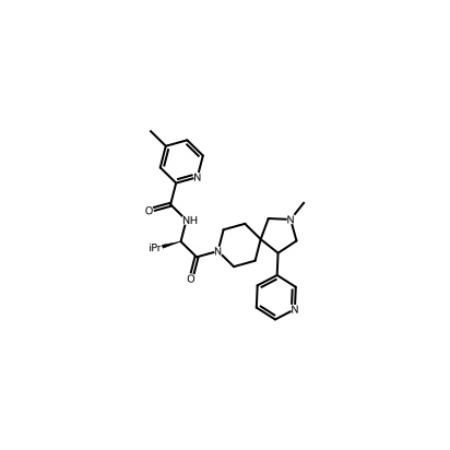 Cc1ccnc(C(=O)N[C@@H](C(=O)N2CCC3(CC2)CN(C)CC3c2cccnc2)C(C)C)c1